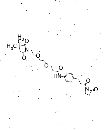 CC1(C)CC(=O)N(CCOCCOCCC(=O)Nc2ccc(CCC(=O)N3CCC3=O)cc2)C1=O